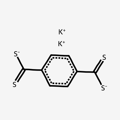 S=C([S-])c1ccc(C(=S)[S-])cc1.[K+].[K+]